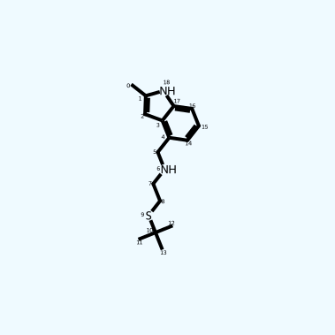 Cc1cc2c(CNCCSC(C)(C)C)cccc2[nH]1